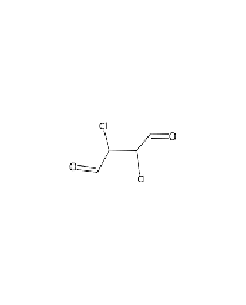 O=CC(Cl)C(Cl)C=O